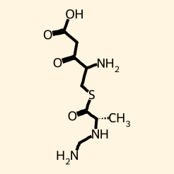 C[C@H](NCN)C(=O)SCC(N)C(=O)CC(=O)O